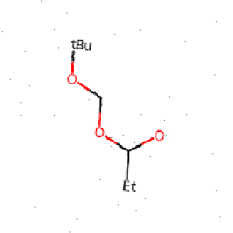 CCC([O])OCOC(C)(C)C